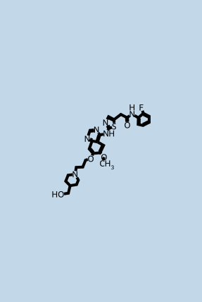 COc1cc2c(Nc3ncc(CC(=O)Nc4ccccc4F)s3)ncnc2cc1OCCCN1CCC(CO)CC1